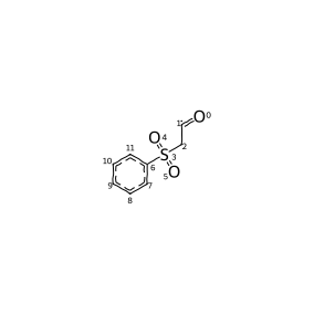 O=[C]CS(=O)(=O)c1ccccc1